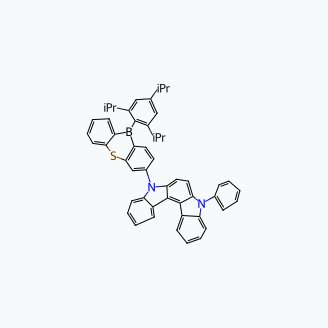 CC(C)c1cc(C(C)C)c(B2c3ccccc3Sc3cc(-n4c5ccccc5c5c6c7ccccc7n(-c7ccccc7)c6ccc54)ccc32)c(C(C)C)c1